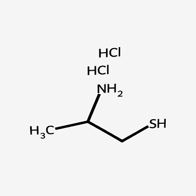 CC(N)CS.Cl.Cl